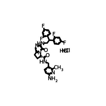 Cc1nc(N)ccc1CNC(=O)[C@@H]1CCc2cnc(NCC(c3ccc(F)cc3F)c3ccc(F)cc3F)c(=O)n21.Cl.Cl